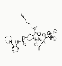 C=CCCCCN(C)C(=O)[C@@H]1C[C@H](OC(=O)Nc2ccccc2N2CCCCC2)C[C@H]1C(=O)N[C@]1(C(=O)NS(=O)(=O)C2CC2)C[C@H]1C=C